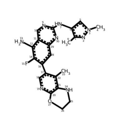 Cc1nn(C)cc1Nc1ncc2c(N)c(F)c(-c3cnc4c(c3C)NCCO4)cc2n1